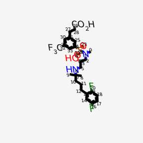 CN(C[C@H](O)CNC(C)(C)CCCc1cc(F)ccc1F)S(=O)(=O)c1cc(CCC(=O)O)cc(C(F)(F)F)c1